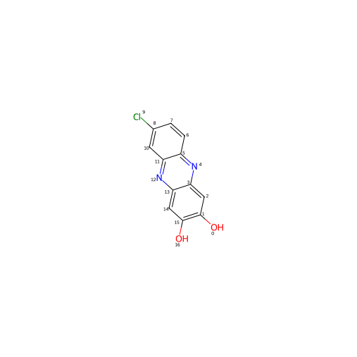 Oc1cc2nc3ccc(Cl)cc3nc2cc1O